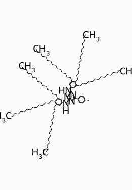 CCCCCCCCCCCCCCCc1cc(Nc2nc(Nc3cc(CCCCCCCCCCCCCCC)c(CCCCCCCCCCCCCCC)c(CCCCCCCCCCCCCCC)c3)nc(-c3cc[c]cc3)n2)cc(CCCCCCCCCCCCCCC)c1CCCCCCCCCCCCCCC